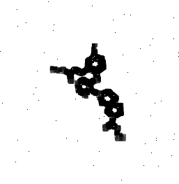 COC(=O)C=Cc1cc(F)ccc1Oc1cncnc1N1CCC2(CCN(C(=O)OC(C)(C)C)C2)C1